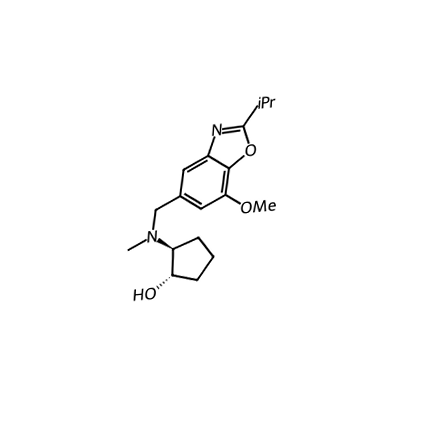 COc1cc(CN(C)[C@H]2CCC[C@@H]2O)cc2nc(C(C)C)oc12